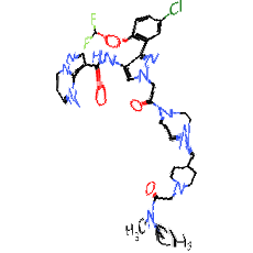 CN(C)C(=O)CN1CCC(CN2CCN(C(=O)Cn3cc(NC(=O)c4cnn5cccnc45)c(-c4cc(Cl)ccc4OC(F)F)n3)CC2)CC1